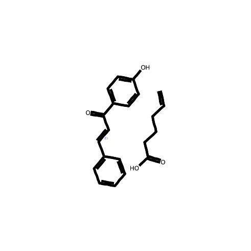 C=CCCCC(=O)O.O=C(/C=C/c1ccccc1)c1ccc(O)cc1